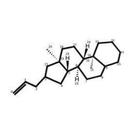 C=CCC1C[C@H]2[C@@H]3CCC4CCCC[C@]4(C)[C@H]3CC[C@]2(C)C1